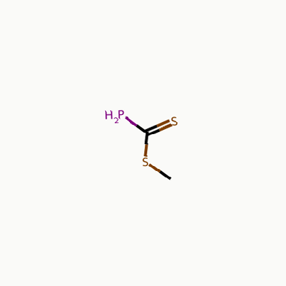 CSC(P)=S